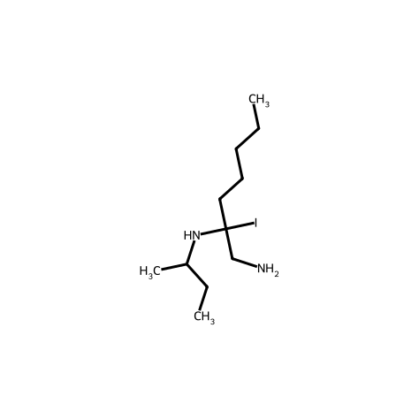 CCCCCC(I)(CN)NC(C)CC